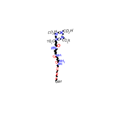 COCCOCCOCCOCCNC(=O)[C@@H](N)CCC(=O)NCCCCNC(=O)CCC(C(=O)O)N1CCN(CC(=O)O)CCN(CC(=O)O)CCN(CC(=O)O)CC1